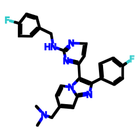 CN(C)Cc1ccn2c(-c3ccnc(NCc4ccc(F)cc4)n3)c(-c3ccc(F)cc3)nc2c1